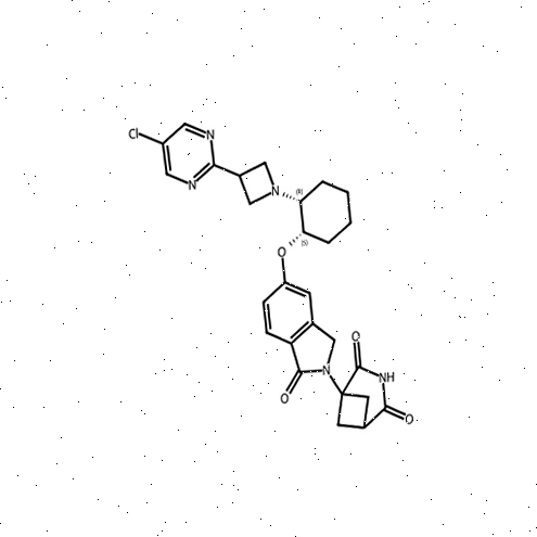 O=C1NC(=O)C2(N3Cc4cc(O[C@H]5CCCC[C@H]5N5CC(c6ncc(Cl)cn6)C5)ccc4C3=O)CC1C2